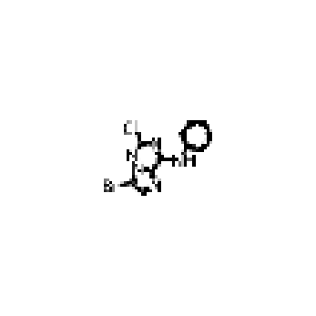 Clc1nc(Nc2ccccc2)c2ncc(Br)n2n1